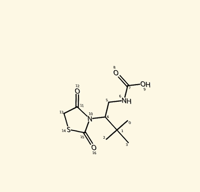 CC(C)(C)C(CNC(=O)O)N1C(=O)CSC1=O